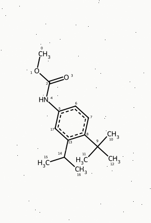 COC(=O)Nc1ccc(C(C)(C)C)c(C(C)C)c1